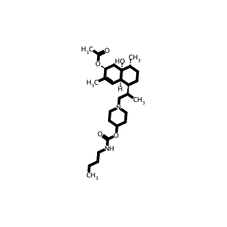 CCCCNC(=O)OC1CCN(CC(C)[C@@H]2CC[C@@H](C)[C@]3(O)[CH][C@@H](OC(C)=O)C(C)=C[C@H]23)CC1